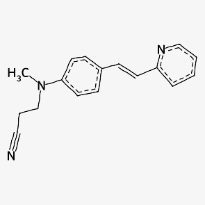 CN(CCC#N)c1ccc(/C=C/c2ccccn2)cc1